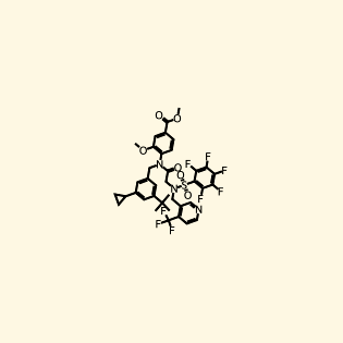 COC(=O)c1ccc(N(Cc2cc(C3CC3)cc(C(C)(C)C)c2)C(=O)CN(Cc2cnccc2C(F)(F)F)S(=O)(=O)c2c(F)c(F)c(F)c(F)c2F)c(OC)c1